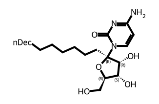 CCCCCCCCCCCCCCCC[C@@]1(n2ccc(N)nc2=O)O[C@H](CO)[C@@H](O)[C@H]1O